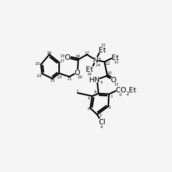 CCOC(=O)c1cc(Cl)cc(C)c1NC(=O)C(CC)[N+](CC)(CC)CC(=O)OCc1ccccc1